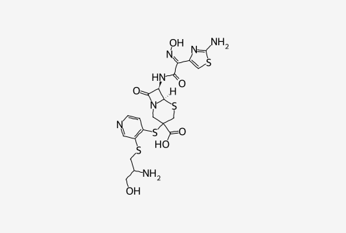 Nc1nc(C(=NO)C(=O)N[C@@H]2C(=O)N3CC(Sc4ccncc4SCC(N)CO)(C(=O)O)CS[C@H]23)cs1